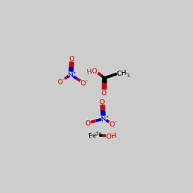 CC(=O)O.O=[N+]([O-])[O-].O=[N+]([O-])[O-].[OH][Fe+2]